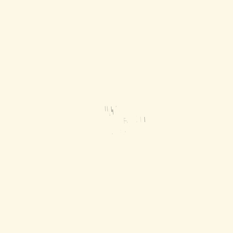 COB(O)O.[HH]